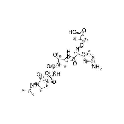 CC(C)=NN1CCN(S(=O)(=O)NC(=O)N2C[C@H](NC(=O)C(=NOC(C)(C)C(=O)O)c3csc(N)n3)C2=O)C1=O